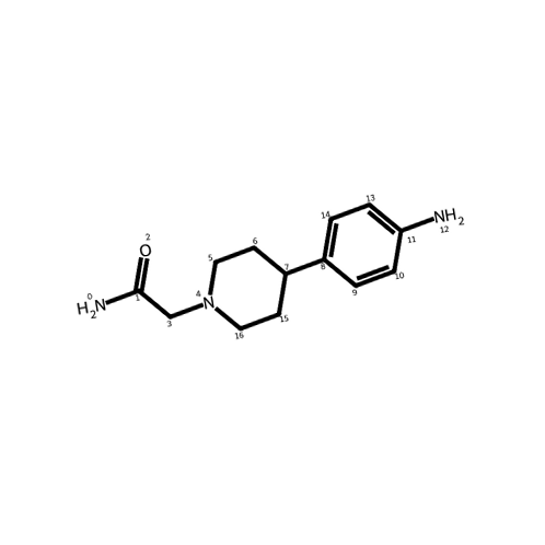 NC(=O)CN1CCC(c2ccc(N)cc2)CC1